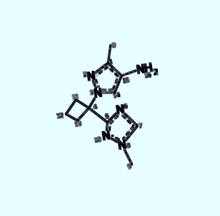 Cc1nn(C2(c3ncn(C)n3)CCC2)cc1N